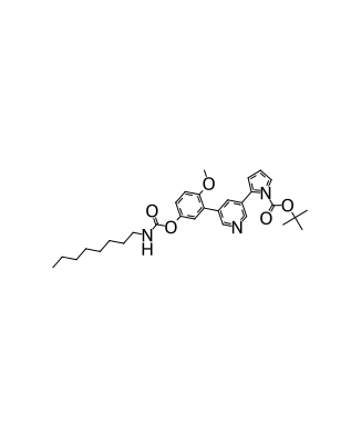 CCCCCCCCNC(=O)Oc1ccc(OC)c(-c2cncc(-c3cccn3C(=O)OC(C)(C)C)c2)c1